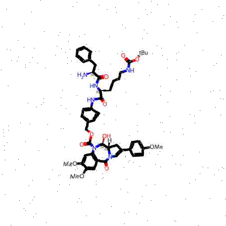 COc1ccc(C2=CN3C(=O)c4cc(OC)c(OC)cc4N(C(=O)OCc4ccc(NC(=O)[C@H](CCCCNC(=O)OC(C)(C)C)NC(=O)[C@@H](N)Cc5ccccc5)cc4)[C@@H](O)[C@@H]3C2)cc1